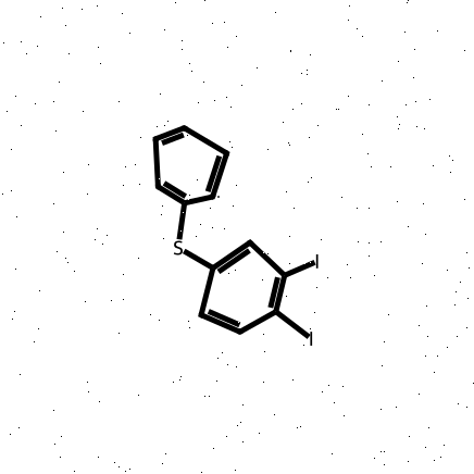 Ic1ccc(Sc2[c]cccc2)cc1I